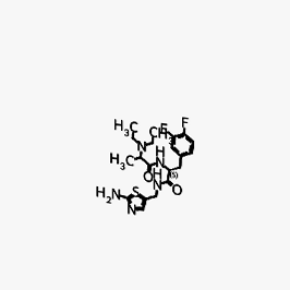 CCN(CC)C(C)C(=O)N[C@@H](Cc1ccc(F)c(F)c1)C(=O)NCc1cnc(N)s1